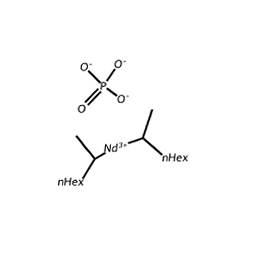 CCCCCC[CH](C)[Nd+3][CH](C)CCCCCC.O=P([O-])([O-])[O-]